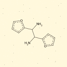 NC(c1ccco1)C(N)c1ccco1